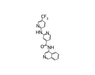 O=C(Nc1cncc2ccccc12)c1ccnc(Nc2ccc(C(F)(F)F)cn2)c1